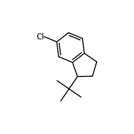 CC(C)(C)C1CCc2ccc(Cl)cc21